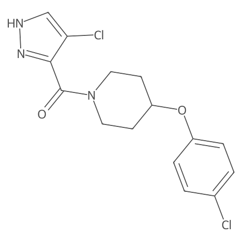 O=C(c1n[nH]cc1Cl)N1CCC(Oc2ccc(Cl)cc2)CC1